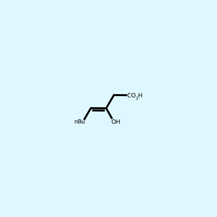 CCCCC=C(O)CC(=O)O